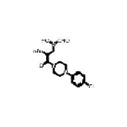 CCCCC(CN(O)C=O)C(=O)N1CCN(c2ccc(Cl)cc2)CC1